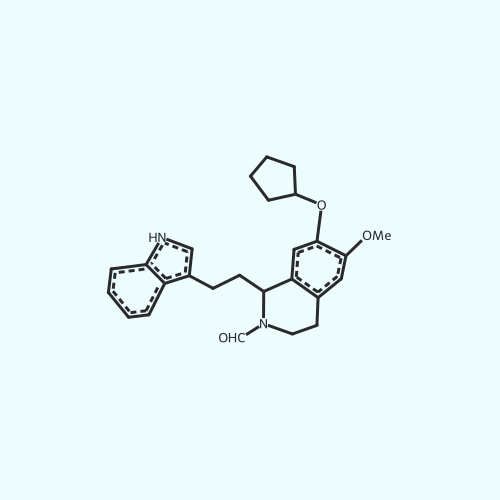 COc1cc2c(cc1OC1CCCC1)C(CCc1c[nH]c3ccccc13)N(C=O)CC2